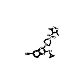 Cc1noc(C)c1S(=O)(=O)N1CCN(c2nc3cc(C#N)ccc3nc2NC2CC2)CC1